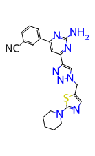 N#Cc1cccc(-c2cc(-c3cn(Cc4cnc(N5CCCCC5)s4)nn3)nc(N)n2)c1